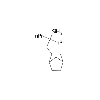 CCCC([SiH3])(CCC)CC1CC2C=CC1C2